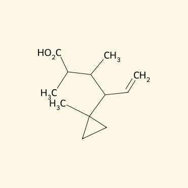 C=CC(C(C)C(C)C(=O)O)C1(C)CC1